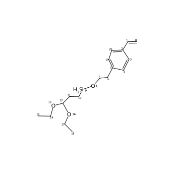 C=Cc1ccc(CCO[SiH2]CCC(OCC)OCC)cc1